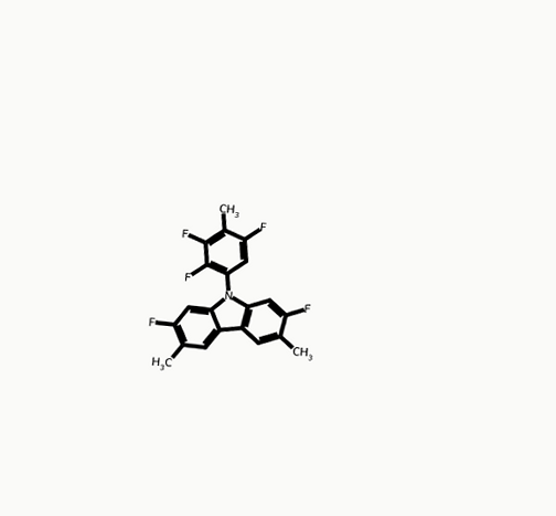 Cc1cc2c3cc(C)c(F)cc3n(-c3cc(F)c(C)c(F)c3F)c2cc1F